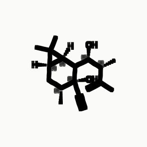 C#C[C@]1(O)C([C@H](O)[C@H](C)C(=C)C)[C@H]2[C@@H](C[C@H]1C)C2(C)C